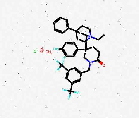 CC[N+]12CCC(c3ccccc3)(CC1)CC2C1(c2ccc(F)c(F)c2)CCC(=O)N(Cc2cc(C(F)(F)F)cc(C(F)(F)F)c2)C1.O.O.[Cl-]